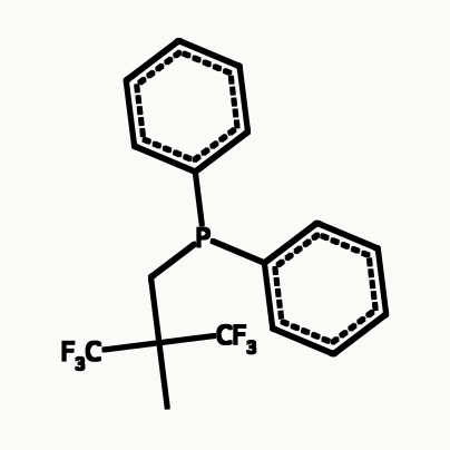 CC(CP(c1ccccc1)c1ccccc1)(C(F)(F)F)C(F)(F)F